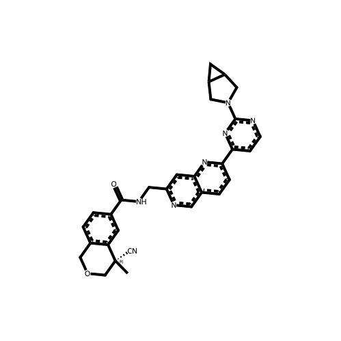 C[C@@]1(C#N)COCc2ccc(C(=O)NCc3cc4nc(-c5ccnc(N6CC7CC7C6)n5)ccc4cn3)cc21